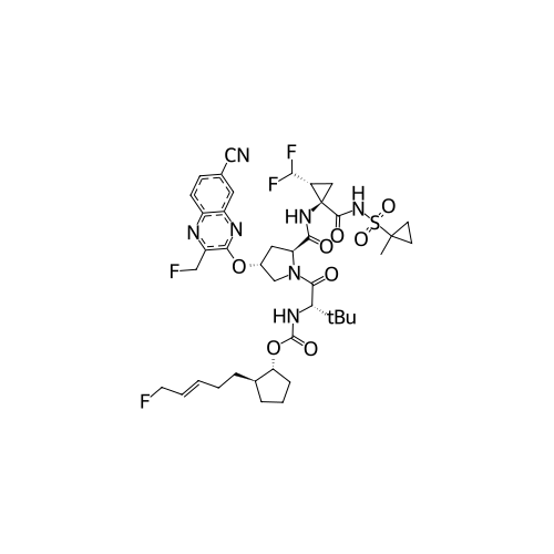 CC(C)(C)[C@H](NC(=O)O[C@@H]1CCC[C@H]1CC/C=C/CF)C(=O)N1C[C@H](Oc2nc3cc(C#N)ccc3nc2CF)C[C@H]1C(=O)N[C@]1(C(=O)NS(=O)(=O)C2(C)CC2)C[C@H]1C(F)F